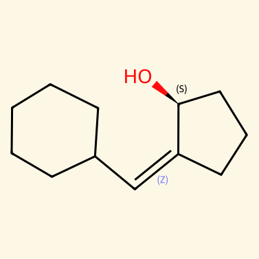 O[C@H]1CCC/C1=C/C1CCCCC1